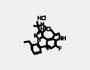 CCc1cccc(CC)c1-n1nc2c(c1-c1ccc(F)c3[nH]cc(Cl)c13)CNC2(C)C.Cl